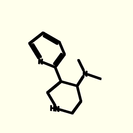 CN(C)C1CCNCC1c1ccccn1